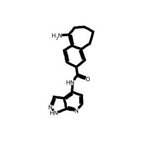 NC1=C2C=CC(C(=O)Nc3ccnc4[nH]ncc34)C=C2CCCC1